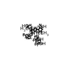 CCc1c(C)cc2[nH]ncc2c1-c1ncc2c(N3CCC[C@@](C)(O)C3)nc(OC[C@@]34CCCN3C[C@H](F)C4)nc2c1F.O=C(O)C(F)(F)F.O=C(O)C(F)(F)F